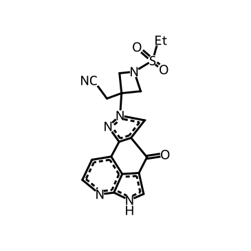 CCS(=O)(=O)N1CC(CC#N)(n2cc3c(n2)-c2ccnc4[nH]cc(c24)C3=O)C1